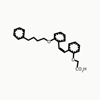 O=C(O)COc1ccccc1/C=C\c1ccccc1OCCCCc1ccccc1